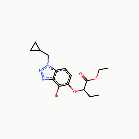 CCOC(=O)C(CC)Oc1ccc2c(nnn2CC2CC2)c1Br